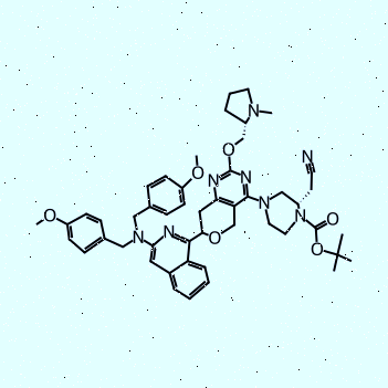 COc1ccc(CN(Cc2ccc(OC)cc2)c2cc3ccccc3c(C3Cc4nc(OC[C@@H]5CCCN5C)nc(N5CCN(C(=O)OC(C)(C)C)[C@@H](CC#N)C5)c4CO3)n2)cc1